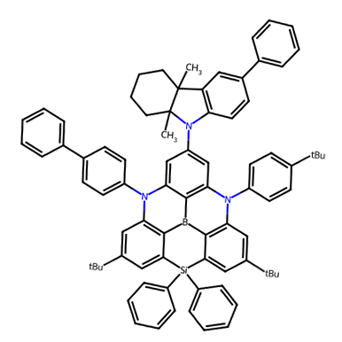 CC(C)(C)c1ccc(N2c3cc(N4c5ccc(-c6ccccc6)cc5C5(C)CCCCC45C)cc4c3B3c5c(cc(C(C)(C)C)cc5[Si](c5ccccc5)(c5ccccc5)c5cc(C(C)(C)C)cc2c53)N4c2ccc(-c3ccccc3)cc2)cc1